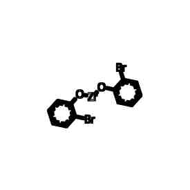 Brc1ccccc1[O][Zr][O]c1ccccc1Br